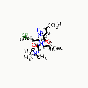 CCCCCCCCCCCC[N+](CCCCCCCCCCCC)(C(=O)C[N+](C)(C)C)C(=O)[C@H](N)CCC(=O)O.[Cl-].[Cl-]